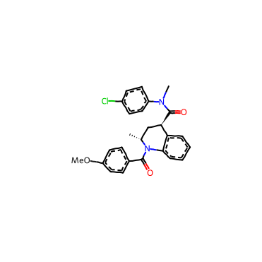 COc1ccc(C(=O)N2c3ccccc3[C@H](C(=O)N(C)c3ccc(Cl)cc3)C[C@H]2C)cc1